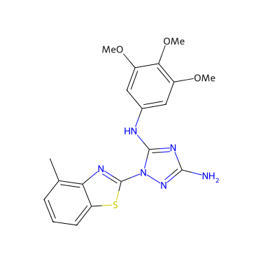 COc1cc(Nc2nc(N)nn2-c2nc3c(C)cccc3s2)cc(OC)c1OC